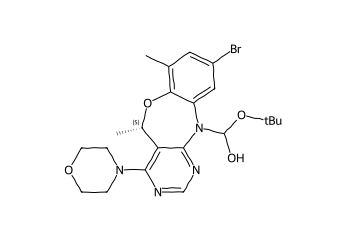 Cc1cc(Br)cc2c1O[C@@H](C)c1c(N3CCOCC3)ncnc1N2C(O)OC(C)(C)C